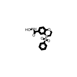 O=C(NO)c1ccc2c(c1)N(S(=O)(=O)c1ccccc1)CCO2